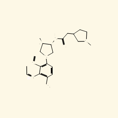 C=Nc1c(N2C[C@@H](C)[C@@H](NC(=O)CC3CCN(C)C3)C2)ccc(C#N)c1/N=C\C